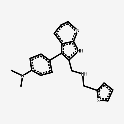 CN(C)c1ccc(-c2c(CNCc3cccs3)[nH]c3ncccc23)cc1